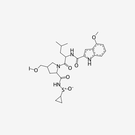 COc1cccc2[nH]c(C(=O)NC(CC(C)C)C(=O)N3CC(COI)CC3C(=O)N[S+]([O-])C3CC3)cc12